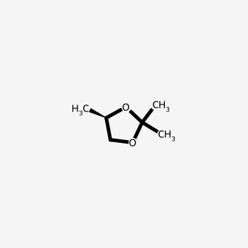 C[C@@H]1COC(C)(C)O1